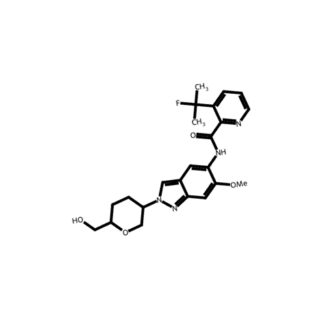 COc1cc2nn(C3CCC(CO)OC3)cc2cc1NC(=O)c1ncccc1C(C)(C)F